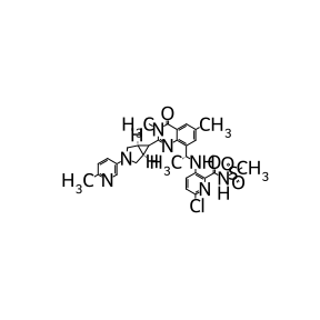 Cc1cc([C@@H](C)Nc2ccc(Cl)nc2C(=O)NS(C)(=O)=O)c2nc(C3[C@H]4CN(c5ccc(C)nc5)C[C@@H]34)n(C)c(=O)c2c1